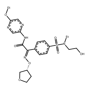 CCOc1cnc(NC(=O)/C(=N/O[C@@H]2CCOC2)c2ccc(S(=O)(=O)N(CC)CCO)cc2)cn1